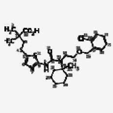 CC(C)(CSc1cnc(NC(=O)N(CCOCc2ccccc2Cl)C2(C)CCCCC2)s1)C(=O)O